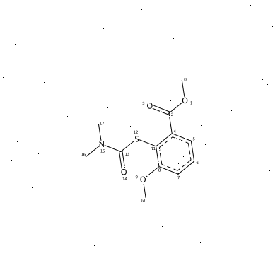 COC(=O)c1cccc(OC)c1SC(=O)N(C)C